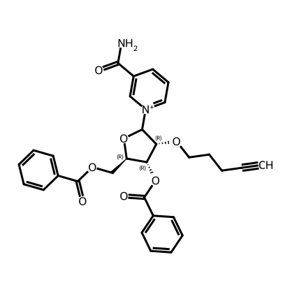 C#CCCCO[C@H]1C([n+]2cccc(C(N)=O)c2)O[C@H](COC(=O)c2ccccc2)[C@H]1OC(=O)c1ccccc1